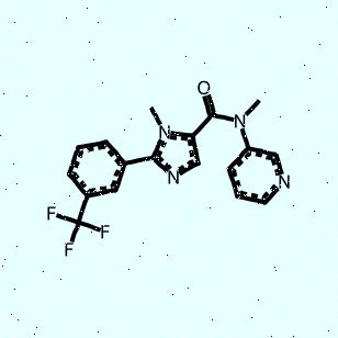 CN(C(=O)c1cnc(-c2cccc(C(F)(F)F)c2)n1C)c1cccnc1